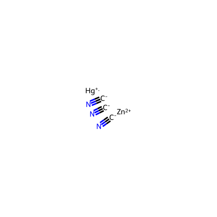 [C-]#N.[C-]#N.[C-]#N.[Hg+].[Zn+2]